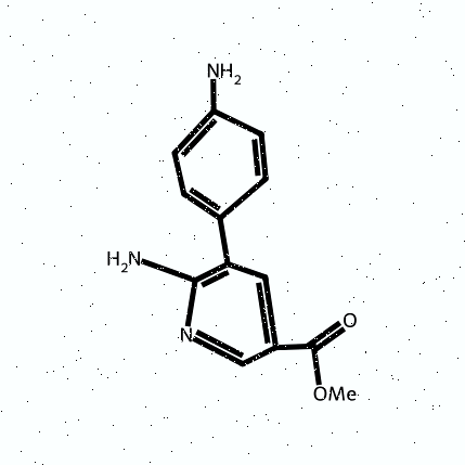 COC(=O)c1cnc(N)c(-c2ccc(N)cc2)c1